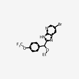 CCOC(c1ccc(OC(F)(F)F)cc1)c1nc2cc(Br)cnc2[nH]1